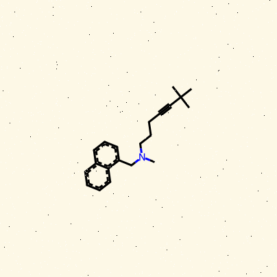 CN(CCCC#CC(C)(C)C)Cc1cccc2ccccc12